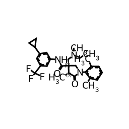 CCN(C)C[C@@]1(C(=O)Nc2cc(C3CC3)cc(C(F)(F)F)c2)CN(c2c(C)cccc2C)C(=O)[C@H]1C